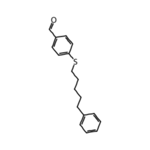 O=Cc1ccc(SCCCCCc2ccccc2)cc1